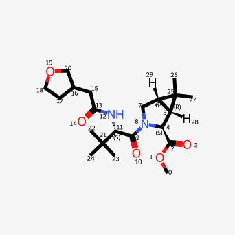 COC(=O)[C@@H]1[C@@H]2[C@H](CN1C(=O)[C@@H](NC(=O)CC1CCOC1)C(C)(C)C)C2(C)C